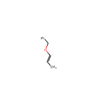 CC=COCC(C)C